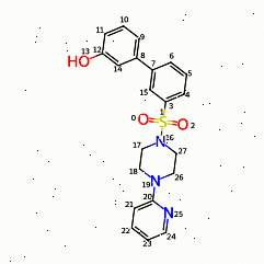 O=S(=O)(c1cccc(-c2cccc(O)c2)c1)N1CCN(c2ccccn2)CC1